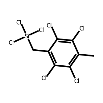 Cc1c(Cl)c(Cl)c(C[Si](Cl)(Cl)Cl)c(Cl)c1Cl